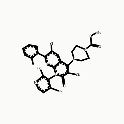 CC(C)c1ccnc(C(C)C)c1-n1c(=O)c(C#N)c(N2CCN(C(=O)OC(C)(C)C)CC2)c2cc(Cl)c(-c3ccccc3F)nc21